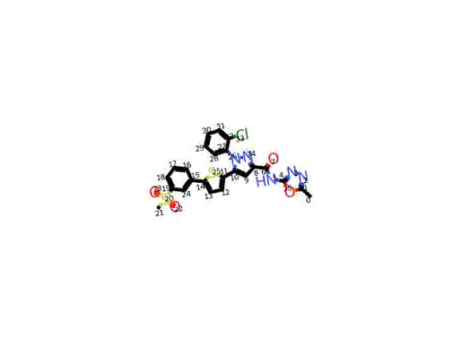 Cc1nnc(NC(=O)c2cc(-c3ccc(-c4cccc(S(C)(=O)=O)c4)s3)n(-c3ccccc3Cl)n2)o1